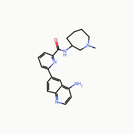 CN1CCCCC(NC(=O)c2cccc(-c3ccc4nccc(N)c4c3)n2)C1